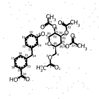 CC(=O)OC[C@H]1O[C@H](Oc2cccc(Cc3cccc(C(=O)O)c3)c2)[C@@H](OC(C)=O)[C@@H](OC(C)=O)[C@@H]1OC(C)=O